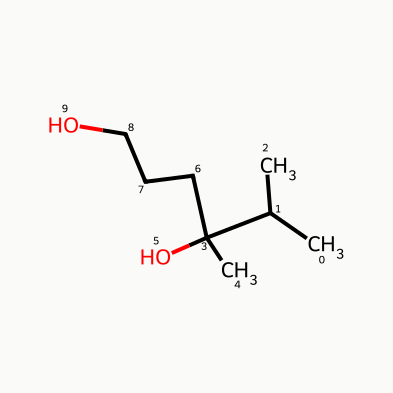 CC(C)C(C)(O)CCCO